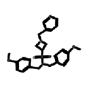 COc1ccc(CN(Cc2ccc(OC)cc2)S(=O)(=O)C2CN(Cc3cccnc3)C2)cc1